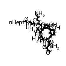 CCCCCCCC(=O)NCCC(=O)N[C@@H](CCCCN)C(=O)N(C)[C@@H]1C(=O)N[C@@H](N)C(=O)N[C@H](C(=O)N[C@@H](N)C(=O)C2CO2)Cc2ccc(O)c(c2)-c2cc1ccc2O